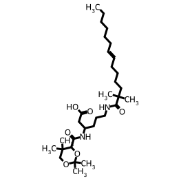 CCCCCCC=CCCCCC(C)(C)C(=O)NCCCC(CC(=O)O)NC(=O)C1OC(C)(C)OCC1(C)C